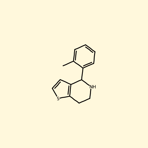 Cc1ccccc1C1NCCc2sccc21